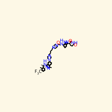 Cc1c([C@@H](C)Nc2nnc(C)c3ccc(N4CCN(CCCCCN5CCN(C(=O)CNc6cccc7c(C8CCC(=O)NC8=O)nn(C)c67)CC5)CC4)cc23)cccc1C(F)(F)F